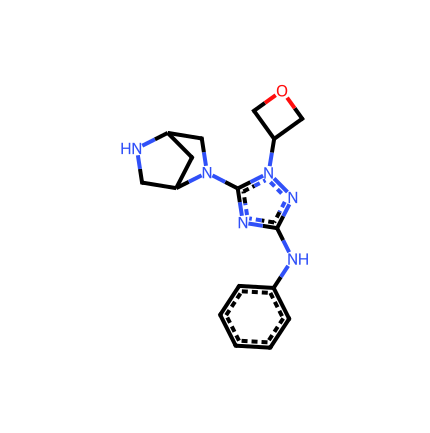 c1ccc(Nc2nc(N3CC4CC3CN4)n(C3COC3)n2)cc1